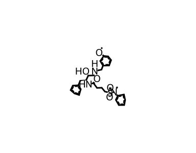 COc1cccc(CNC[C@@H](O)[C@H](Cc2ccccc2)NC(=O)CCCS(=O)(=O)N(C)c2ccccc2)c1